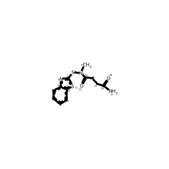 CN(Sc1nc2ccccc2s1)C(=O)CCC(N)=O